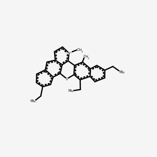 Cc1c2c(c(CC(C)(C)C)c3ccc(CC(C)(C)C)cc13)Sc1c3cc(CC(C)(C)C)ccc3cc3cc[n+](C)c-2c13